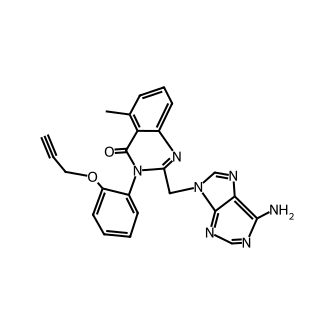 C#CCOc1ccccc1-n1c(Cn2cnc3c(N)ncnc32)nc2cccc(C)c2c1=O